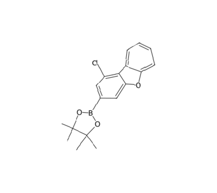 CC1(C)OB(c2cc(Cl)c3c(c2)oc2ccccc23)OC1(C)C